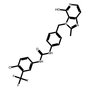 Cc1nc2ccnc(O)c2n1Cc1ccc(NC(=O)Nc2ccc(Cl)c(C(F)(F)F)c2)cc1